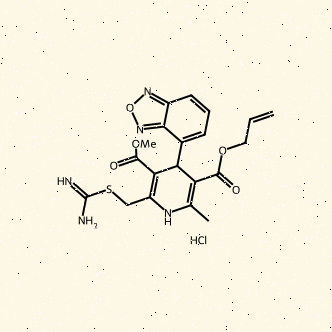 C=CCOC(=O)C1=C(C)NC(CSC(=N)N)=C(C(=O)OC)C1c1cccc2nonc12.Cl